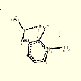 CCCCN(CCCC)CCCC.C[n+]1ccccc1Cl.[I-]